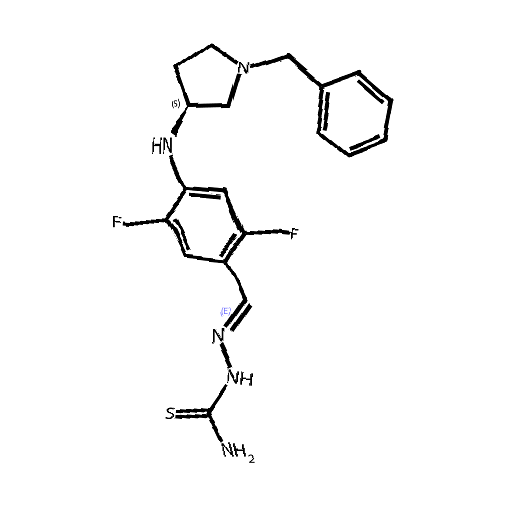 NC(=S)N/N=C/c1cc(F)c(N[C@H]2CCN(Cc3ccccc3)C2)cc1F